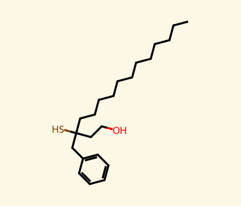 CCCCCCCCCCCCC(S)(CCO)Cc1ccccc1